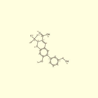 COc1cc2c(cc1-c1cccc(CO)c1)C=C(C(=O)O)C(C(F)(F)F)O2